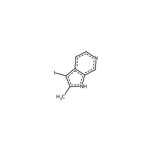 Cc1[nH]c2cnccc2c1I